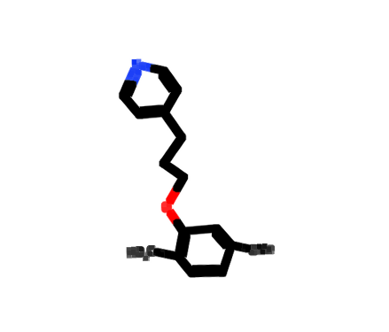 COc1ccc(C(=O)O)c(OCCCc2ccncc2)c1